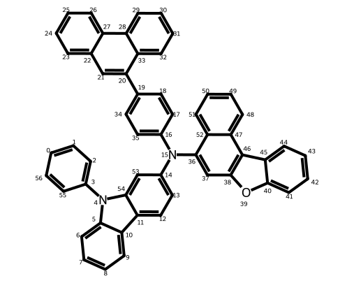 c1ccc(-n2c3ccccc3c3ccc(N(c4ccc(-c5cc6ccccc6c6ccccc56)cc4)c4cc5oc6ccccc6c5c5ccccc45)cc32)cc1